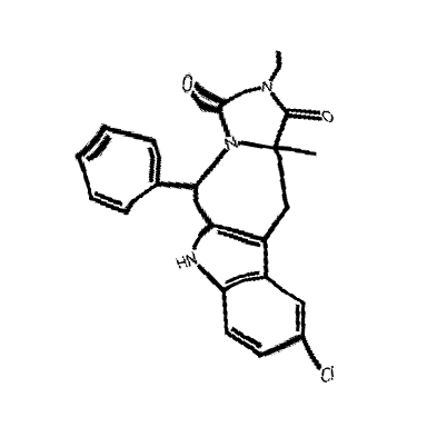 CN1C(=O)N2C(c3ccccc3)c3[nH]c4ccc(Cl)cc4c3CC2(C)C1=O